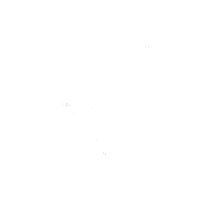 CCc1ccc(C=C2C(=O)NC3=CC=C([N+](=O)[O-])CC32)s1